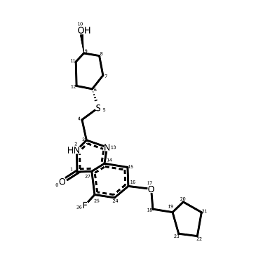 O=c1[nH]c(CS[C@H]2CC[C@H](O)CC2)nc2cc(OCC3CCCC3)cc(F)c12